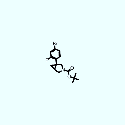 CC(C)(C)OC(=O)N1CC2CC2(c2ccc(Br)cc2F)C1